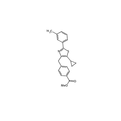 COC(=O)c1ccc(Cc2nc(-c3cccc(C)c3)sc2C2CC2)cc1